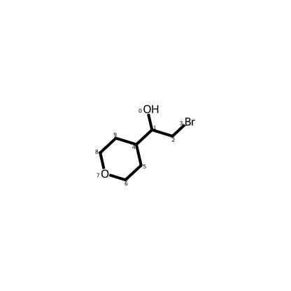 OC(CBr)C1CCOCC1